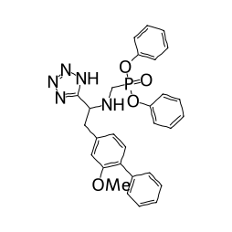 COc1cc(CC(NCP(=O)(Oc2ccccc2)Oc2ccccc2)c2nnn[nH]2)ccc1-c1ccccc1